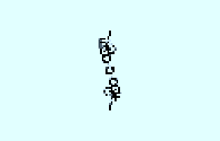 CCCC[C@@H](F)C(=O)O[C@H]1CC[C@H](c2ccc([C@H]3CC[C@H](OC(=O)[C@H](F)CCCC)CC3)cc2)CC1